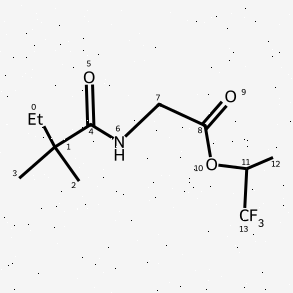 CCC(C)(C)C(=O)NCC(=O)OC(C)C(F)(F)F